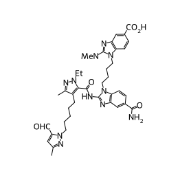 CCn1nc(C)c(CCCCCn2nc(C)cc2C=O)c1C(=O)Nc1nc2cc(C(N)=O)ccc2n1CCCCn1c(NC)nc2cc(C(=O)O)ccc21